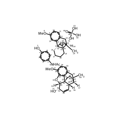 CC(=O)Nc1ccc(O)cc1.COc1ccc2c(c1)[C@]13CCCC[C@@H]1[C@H](C2)N(C)CC3.COc1ccc2c3c1O[C@H]1[C@@H](O)C=C[C@H]4[C@@H](C2)N(C)CC[C@@]341.O=P(O)(O)O